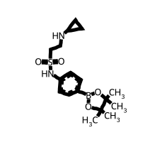 CC1(C)OB(c2ccc(NS(=O)(=O)CCNC3CC3)cc2)OC1(C)C